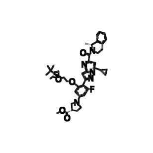 COC(=O)[C@H]1CCN(c2cc(F)c(-c3cc4nc(C(=O)N5CCc6ccccc6[C@H]5C)cc(C5CC5)n4n3)c(OCCO[Si](C)(C)C(C)(C)C)c2)C1